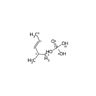 CC=CC(C)C.O=P(O)(O)O